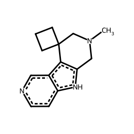 CN1Cc2[nH]c3ccncc3c2C2(CCC2)C1